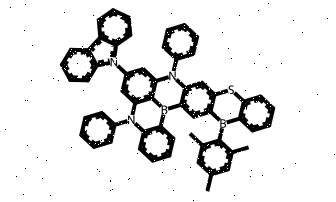 Cc1cc(C)c(B2c3ccccc3Sc3cc4c(cc32)B2c3ccccc3N(c3ccccc3)c3cc(-n5c6ccccc6c6ccccc65)cc(c32)N4c2ccccc2)c(C)c1